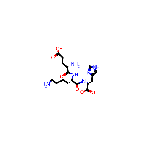 NCCCC[C@H](NC(=O)[C@@H](N)CCC(=O)O)C(=O)N[C@@H](Cc1c[nH]cn1)C(=O)O